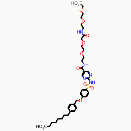 O=C(O)CCCCCCCc1ccc(COc2ccc(S(=O)(=O)Nc3ncc(C(=O)NCCOCCOCC(=O)NCCOCCOCC(=O)O)cn3)cc2)cc1